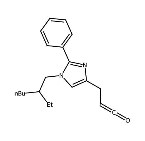 CCCCC(CC)Cn1cc(CC=C=O)nc1-c1ccccc1